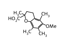 COc1c(C)c(C)c2c(c1C)CCC(C)(C(=O)O)O2